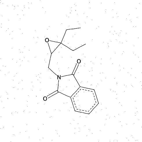 CCC1(CC)OC1CN1C(=O)c2ccccc2C1=O